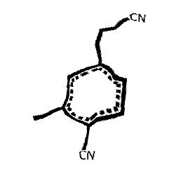 Cc1cc(CC#N)ccc1C#N